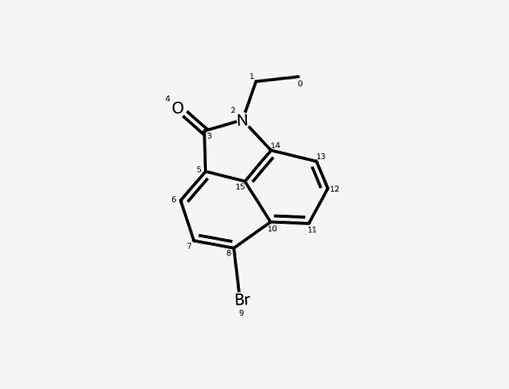 CCN1C(=O)c2ccc(Br)c3cccc1c23